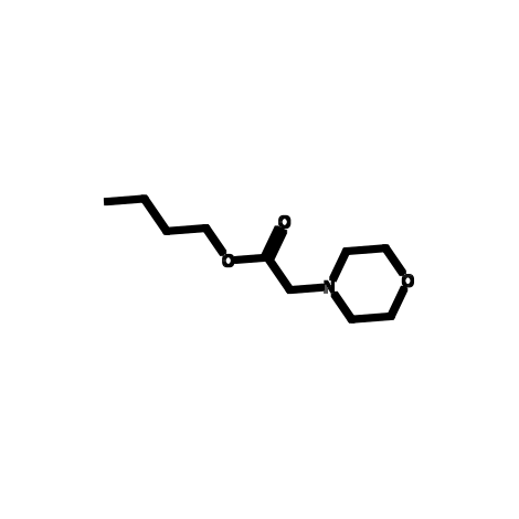 CCCCOC(=O)CN1CCOCC1